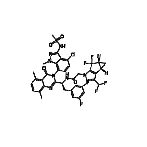 Cc1ccc(C)c2c(=O)n(-c3ccc(Cl)c4c(NS(C)(=O)=O)nn(C)c34)c([C@H](Cc3cc(F)cc(F)c3)NC(=O)Cn3nc(C(F)F)c4c3C(F)(F)[C@@H]3C[C@H]43)nc12